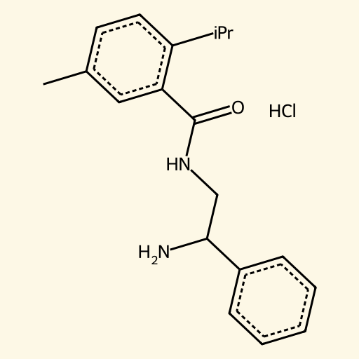 Cc1ccc(C(C)C)c(C(=O)NCC(N)c2ccccc2)c1.Cl